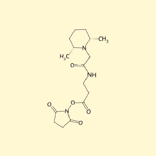 C[C@@H]1CCC[C@H](C)N1CC(=O)NCCC(=O)ON1C(=O)CCC1=O